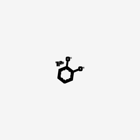 [O-]c1ccccc1[O-].[Ti+2]